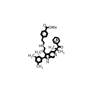 COC(=O)c1ccc(CCNC[C@@H](C)c2c(-c3cc(C)cc(C)c3)[nH]c3cnc(C(C)(C)C(=O)N4CC5CCC4CC5)cc23)cc1